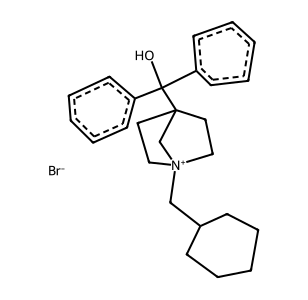 OC(c1ccccc1)(c1ccccc1)C12CC[N+](CC3CCCCC3)(CC1)C2.[Br-]